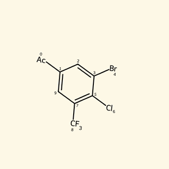 CC(=O)c1cc(Br)c(Cl)c(C(F)(F)F)c1